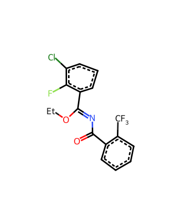 CCOC(=NC(=O)c1ccccc1C(F)(F)F)c1cccc(Cl)c1F